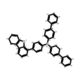 C1=Cc2oc3c(-c4ccc(N(C5=CC=C(c6ccccc6)CC5)c5ccc(-c6ccccc6)cc5)cc4)cccc3c2CC1